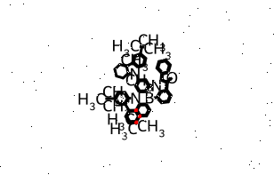 CC(C)(C)c1ccc(N2c3cc(C(C)(C)C)ccc3B3c4c2cc(N2c5ccc(C(C)(C)C)cc5C5(C)CCCCC25C)cc4-n2c4c3cccc4c3oc4ccccc4c32)c(-c2ccccc2)c1